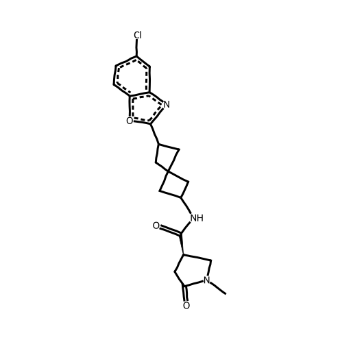 CN1C[C@H](C(=O)NC2CC3(C2)CC(c2nc4cc(Cl)ccc4o2)C3)CC1=O